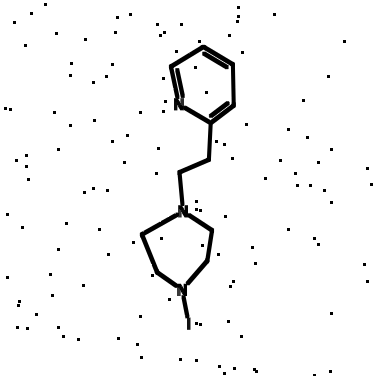 IN1CCN(CCc2ccccn2)CC1